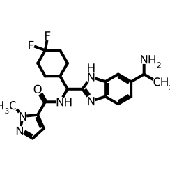 CC(N)c1ccc2nc(C(NC(=O)c3ccnn3C)C3CCC(F)(F)CC3)[nH]c2c1